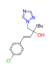 CC(C)(C)C(O)(/C=C/c1ccc(Cl)cc1)Cn1cncn1